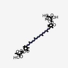 CC(=O)CC(O)(CC(=O)OC1CC(C)(C)C(/C=C/C(C)=C/C=C/C(C)=C/C=C/C=C(C)/C=C/C=C(C)/C=C/C2=C(C)C(=O)C(OC(=O)CC(O)(CC(=O)O)C(=O)O)CC2(C)C)=C(C)C1=O)C(=O)O